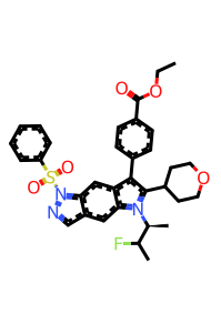 CCOC(=O)c1ccc(-c2c(C3CCOCC3)n([C@@H](C)C(C)F)c3cc4cnn(S(=O)(=O)c5ccccc5)c4cc23)cc1